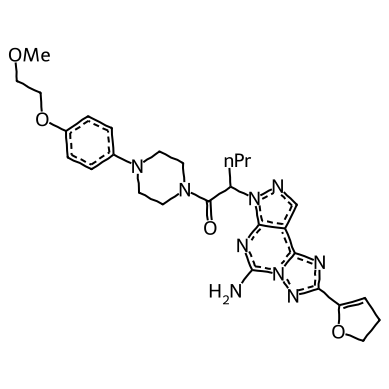 CCCC(C(=O)N1CCN(c2ccc(OCCOC)cc2)CC1)n1ncc2c1nc(N)n1nc(C3=CCCO3)nc21